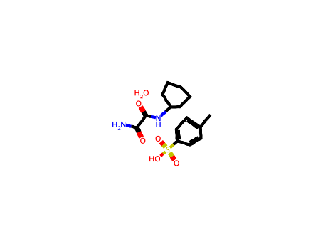 Cc1ccc(S(=O)(=O)O)cc1.NC(=O)C(=O)NC1CCCCC1.O